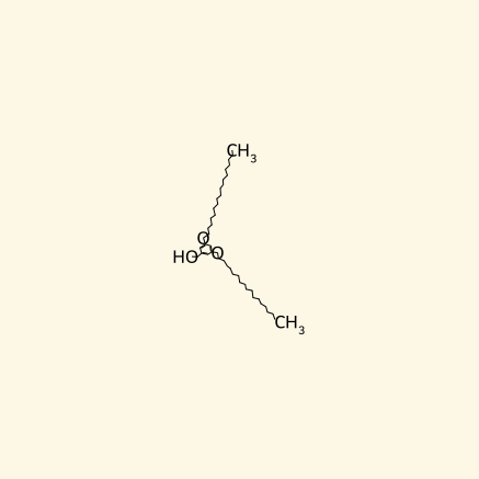 CCCCCCCCCCCCCCCCCCOc1cc(CO)cc(OCCCCCCCCCCCCCCCCCC)c1